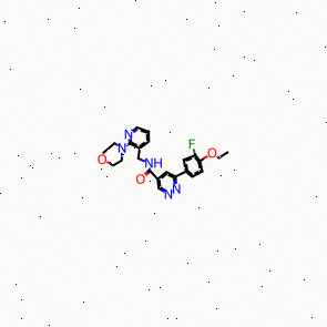 CCOc1ccc(-c2cc(C(=O)NCc3cccnc3N3CCOCC3)cnn2)cc1F